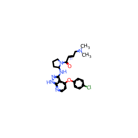 CN(C)C/C=C/C(=O)N1CCCC1Nc1n[nH]c2nccc(Oc3ccc(Cl)cc3)c12